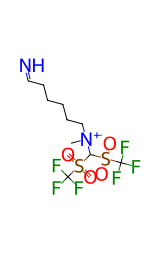 C[N+](C)(CCCCCC=N)C(S(=O)(=O)C(F)(F)F)S(=O)(=O)C(F)(F)F